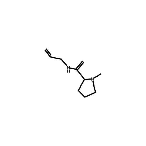 C=CCNC(=C)C1CCCN1C